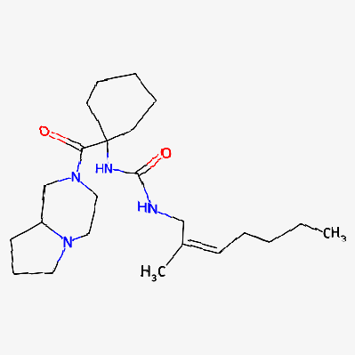 CCCC/C=C(/C)CNC(=O)NC1(C(=O)N2CCN3CCCC3C2)CCCCC1